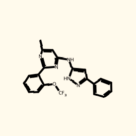 Cc1cc(Nc2cc(-c3ccccc3)n[nH]2)nc(-c2ccccc2OC(F)(F)F)n1